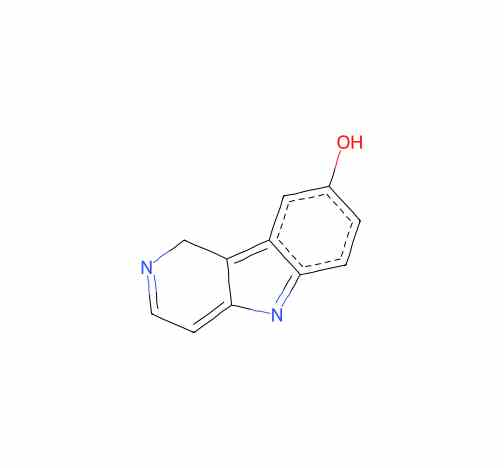 Oc1ccc2c(c1)=C1CN=CC=C1N=2